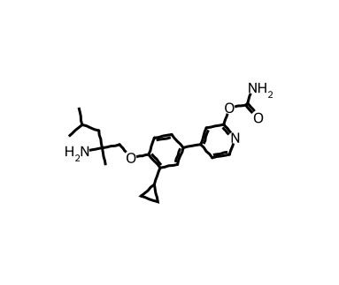 CC(C)CC(C)(N)COc1ccc(-c2ccnc(OC(N)=O)c2)cc1C1CC1